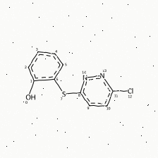 Oc1ccccc1Sc1ccc(Cl)nn1